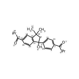 CC(C)C(=O)c1ccc(C2(C)CC(C)(C)c3cc(C(=O)C(C)C)ccc32)cc1